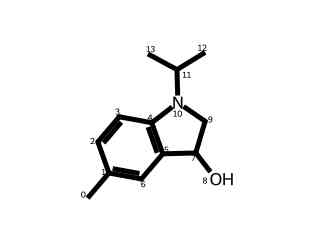 Cc1ccc2c(c1)C(O)CN2C(C)C